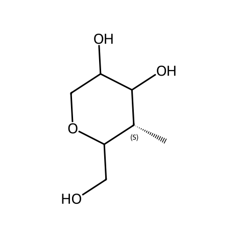 C[C@@H]1C(CO)OCC(O)C1O